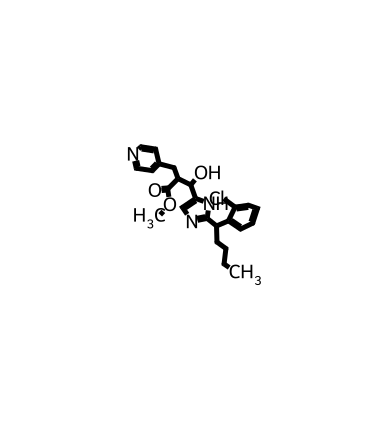 CCCCC(c1ncc(C(O)C(Cc2ccncc2)C(=O)OC)[nH]1)c1ccccc1Cl